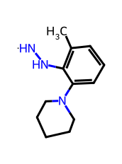 Cc1cccc(N2CCCCC2)c1N[NH]